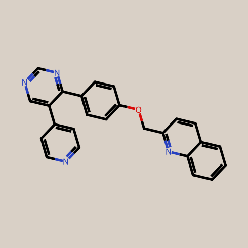 c1ccc2nc(COc3ccc(-c4ncncc4-c4ccncc4)cc3)ccc2c1